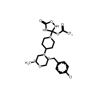 C[C@H]1CN(C2CCN(C3(OC(=O)C(F)(F)F)NOC(=O)N3)CC2)[C@@H](Cc2ccc(Cl)cc2)CO1